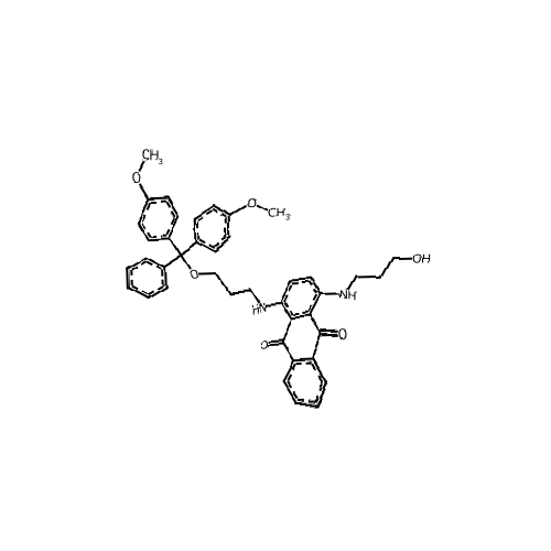 COc1ccc(C(OCCCNc2ccc(NCCCO)c3c2C(=O)c2ccccc2C3=O)(c2ccccc2)c2ccc(OC)cc2)cc1